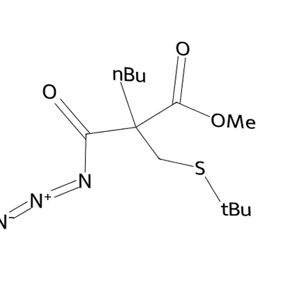 CCCCC(CSC(C)(C)C)(C(=O)N=[N+]=[N-])C(=O)OC